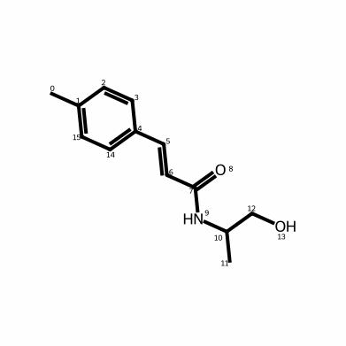 Cc1ccc(/C=C/C(=O)NC(C)CO)cc1